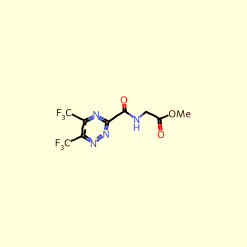 COC(=O)CNC(=O)c1nnc(C(F)(F)F)c(C(F)(F)F)n1